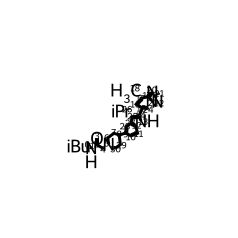 CCC(C)NC(=O)CN1CCC(c2ccc3[nH]c(-c4cc(C)c5ncnn5c4)c(C(C)C)c3c2)CC1